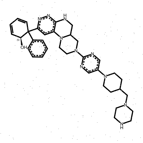 O[C@H]1C=CC=CC1(c1ccccc1)c1cc2c(nn1)NCC1CN(c3ncc(N4CCC(CN5CCNCC5)CC4)cn3)CCN21